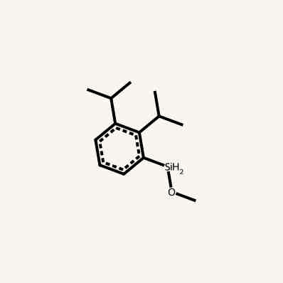 CO[SiH2]c1cccc(C(C)C)c1C(C)C